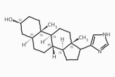 C[C@]12CC[C@H](O)C[C@@H]1CC[C@@H]1[C@@H]2CC[C@]2(C)C(c3c[nH]cn3)CC[C@@H]12